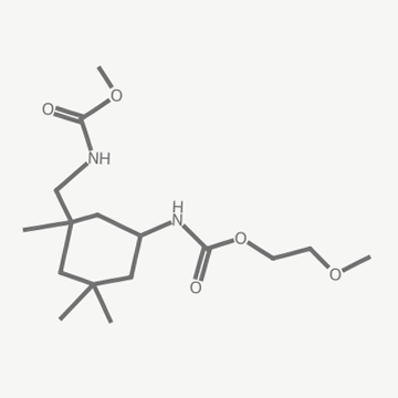 COCCOC(=O)NC1CC(C)(C)CC(C)(CNC(=O)OC)C1